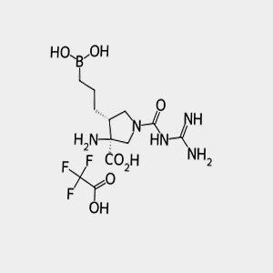 N=C(N)NC(=O)N1C[C@@H](CCCB(O)O)[C@@](N)(C(=O)O)C1.O=C(O)C(F)(F)F